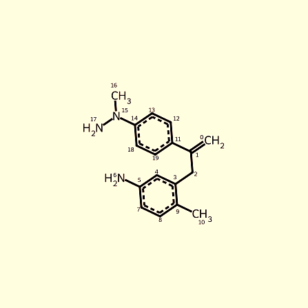 C=C(Cc1cc(N)ccc1C)c1ccc(N(C)N)cc1